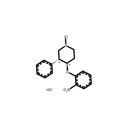 CCN1CC[C@@H](Oc2ccccc2[N+](=O)[O-])[C@H](c2ccccc2)C1.Cl